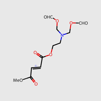 COC(=O)/C=C/C(=O)OCCN(COC=O)COC=O